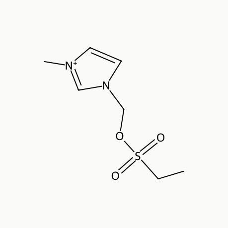 CCS(=O)(=O)OCn1cc[n+](C)c1